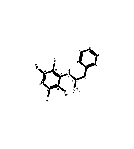 C[C@H](Cc1ccccc1)Nc1c(F)c(F)nc(F)c1F